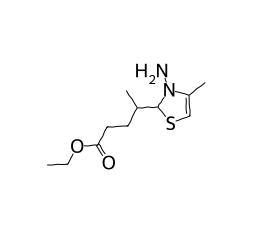 CCOC(=O)CCC(C)C1SC=C(C)N1N